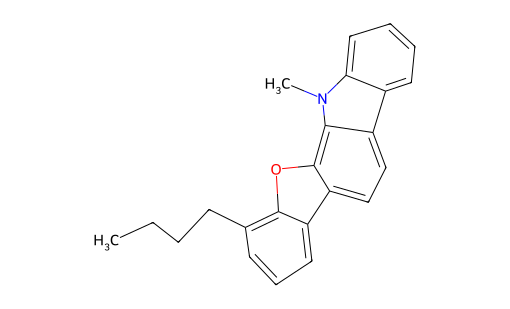 CCCCc1cccc2c1oc1c2ccc2c3ccccc3n(C)c21